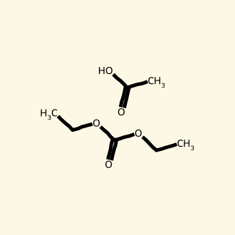 CC(=O)O.CCOC(=O)OCC